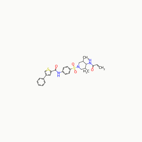 C=CC(=O)NC1C(C)CN(S(=O)(=O)c2ccc(NC(=O)c3cc(-c4ccccc4)cs3)cc2)CC1C